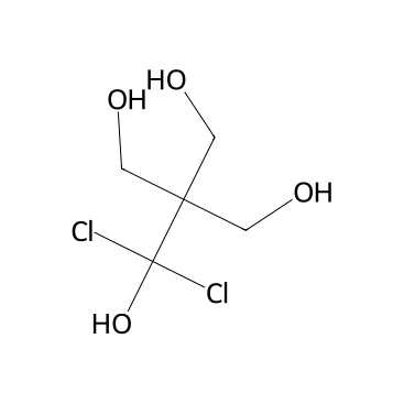 OCC(CO)(CO)C(O)(Cl)Cl